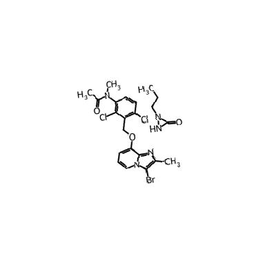 CC(=O)N(C)c1ccc(Cl)c(COc2cccn3c(Br)c(C)nc23)c1Cl.CCCN1NC1=O